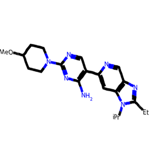 CCc1nc2cnc(-c3cnc(N4CCC(OC)CC4)nc3N)cc2n1C(C)C